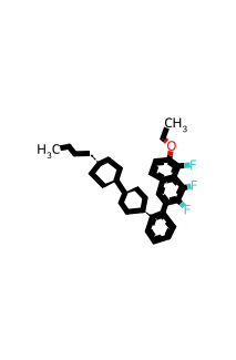 CCCC[C@H]1CC[C@H]([C@H]2CC[C@H](c3ccccc3-c3cc4ccc(OCC)c(F)c4c(F)c3F)CC2)CC1